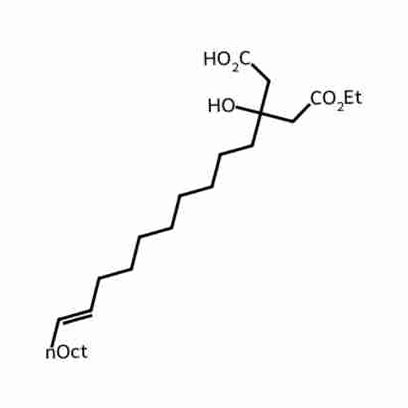 CCCCCCCCC=CCCCCCCCCC(O)(CC(=O)O)CC(=O)OCC